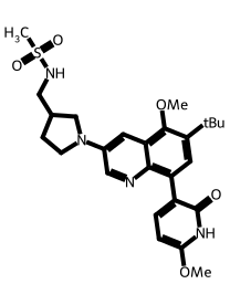 COc1ccc(-c2cc(C(C)(C)C)c(OC)c3cc(N4CCC(CNS(C)(=O)=O)C4)cnc23)c(=O)[nH]1